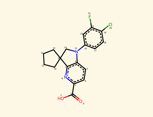 O=C(O)c1ccc2c(n1)C1(CCCC1)CN2c1ccc(Cl)c(F)c1